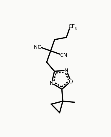 CC1(c2nc(CC(C#N)(C#N)CCC(F)(F)F)no2)CC1